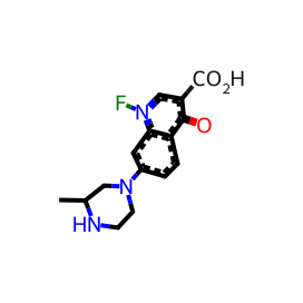 CC1CN(c2ccc3c(=O)c(C(=O)O)cn(F)c3c2)CCN1